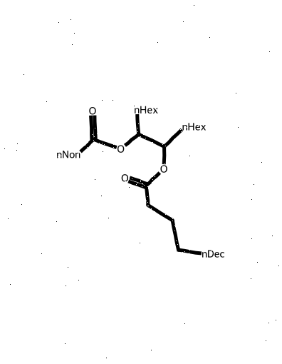 CCCCCCCCCCCCCC(=O)OC(CCCCCC)C(CCCCCC)OC(=O)CCCCCCCCC